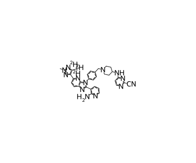 [2H]C([2H])([2H])c1nn(C)nc1-c1ccc2nc(-c3cccnc3N)n(-c3ccc(CN4CCC(Nc5ccnc(C#N)n5)CC4)cc3)c2n1